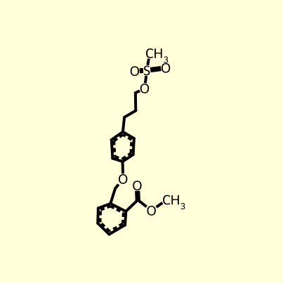 COC(=O)c1ccccc1COc1ccc(CCCOS(C)(=O)=O)cc1